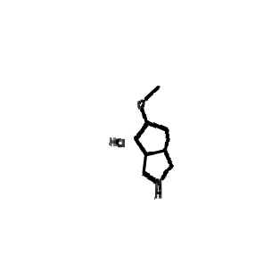 COC1CC2CNCC2C1.Cl